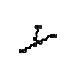 OCCCOB(OCCCO)OCCCO